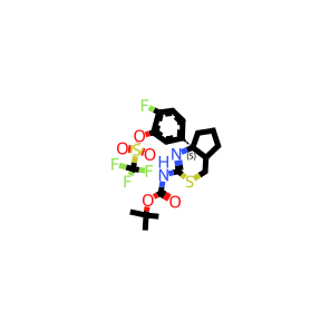 CC(C)(C)OC(=O)NC1=N[C@@]2(c3ccc(F)c(OS(=O)(=O)C(F)(F)F)c3)CCCC2CS1